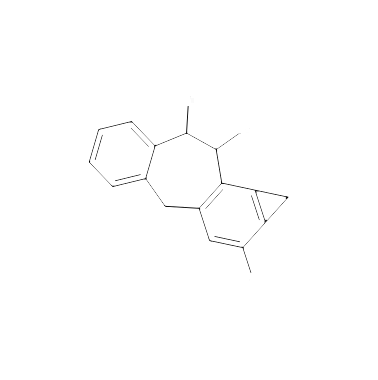 Oc1cc2c(c3c1C3)C(Br)C(Br)c1ccccc1C2